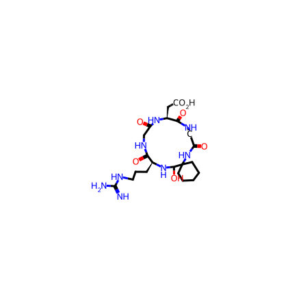 N=C(N)NCCC[C@@H]1NC(O)C2(CCCCC2)NC(=O)CNC(=O)[C@H](CC(=O)O)NC(=O)CNC1=O